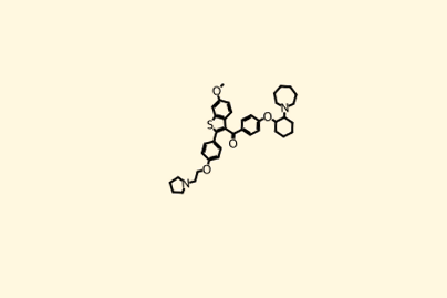 COc1ccc2c(C(=O)c3ccc(OC4CCCCC4N4CCCCCC4)cc3)c(-c3ccc(OCCN4CCCC4)cc3)sc2c1